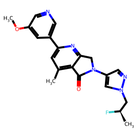 COc1cncc(-c2cc(C)c3c(n2)CN(c2cnn(C[C@@H](C)F)c2)C3=O)c1